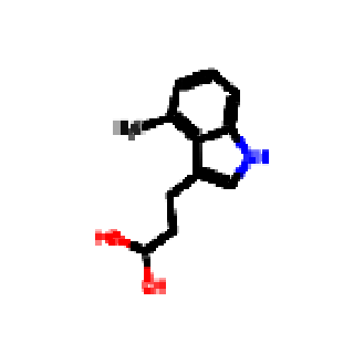 Cc1cccc2[nH]cc(CCC(O)O)c12